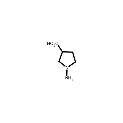 NN1CCC(C(=O)O)C1